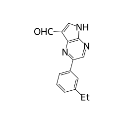 CCc1cccc(-c2cnc3[nH]cc(C=O)c3n2)c1